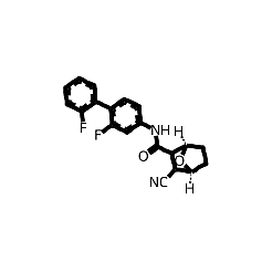 N#CC1C(C(=O)Nc2ccc(-c3ccccc3F)c(F)c2)[C@H]2CC[C@@H]1O2